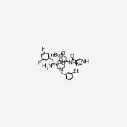 CCCCS(=O)(=O)C[C@@H](NC(=O)c1c[nH]cn1)OCN(Cc1cccc(CC)c1)C[C@@H](O)[C@@H](N)Cc1cc(F)cc(F)c1